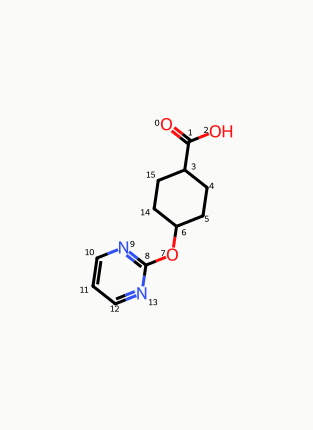 O=C(O)C1CCC(Oc2ncccn2)CC1